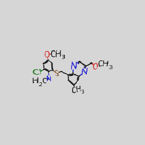 C=Nc1c(Cl)cc(OC)cc1SCc1cc(C)cc2nc(COC)cnc12